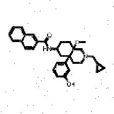 COC12CCC(NC(=O)c3ccc4ccccc4c3)CC1(c1cccc(O)c1)CCN(CC1CC1)C2